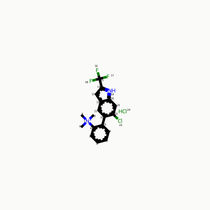 C[N+](C)(C)c1ccccc1-c1cc2cc(C(F)(F)F)[nH]c2cc1Cl.Cl